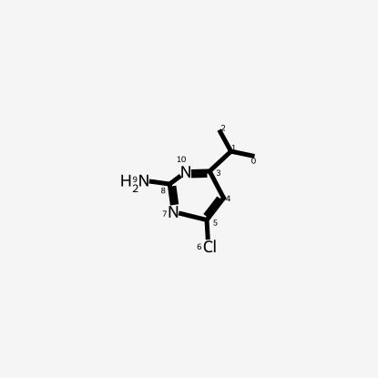 CC(C)c1cc(Cl)nc(N)n1